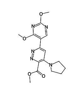 COC(=O)c1nnc(-c2cnc(OC)nc2OC)cc1N1CCCC1